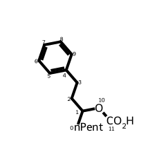 CCCCCC(CCc1ccccc1)OC(=O)O